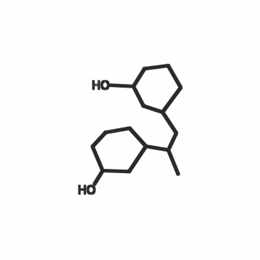 CC(CC1CCCC(O)C1)C1CCCC(O)C1